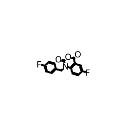 O=c1oc(=O)n(Cc2ccc(F)cc2)c2ccc(F)cc12